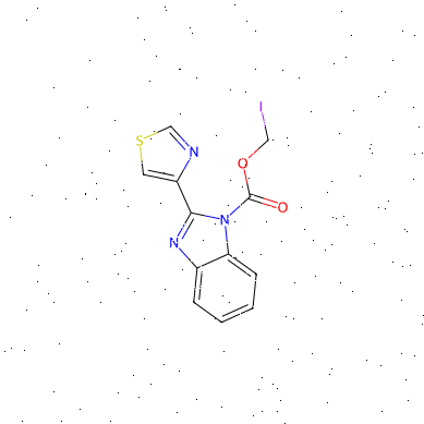 O=C(OCI)n1c(-c2cscn2)nc2ccccc21